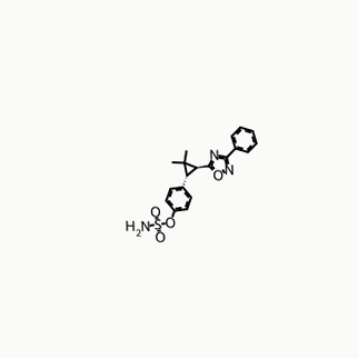 CC1(C)[C@@H](c2ccc(OS(N)(=O)=O)cc2)[C@@H]1c1nc(-c2ccccc2)no1